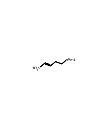 CCCCCCCC=CS(=O)(=O)O